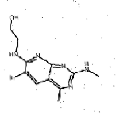 CNc1nc(C)c2cc(Br)c(NCCO)nc2n1